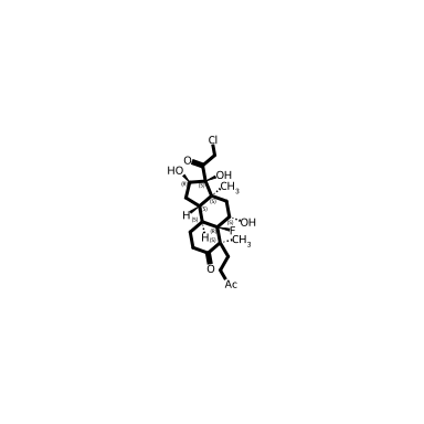 CC(=O)CC[C@@]1(C)C(=O)CC[C@H]2[C@@H]3C[C@@H](O)[C@](O)(C(=O)CCl)[C@@]3(C)C[C@H](O)[C@@]21F